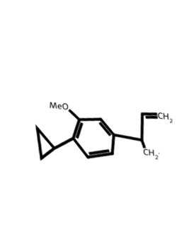 [CH2]C(C=C)c1ccc(C2CC2)c(OC)c1